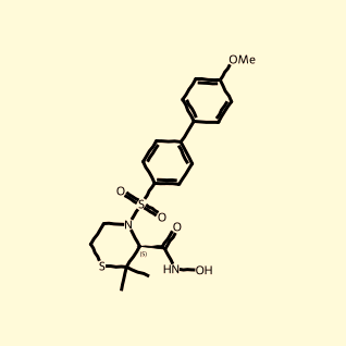 COc1ccc(-c2ccc(S(=O)(=O)N3CCSC(C)(C)[C@@H]3C(=O)NO)cc2)cc1